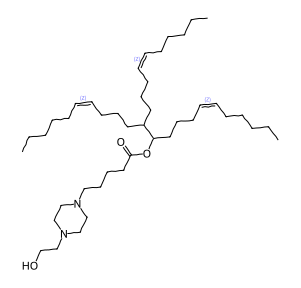 CCCCC/C=C\CCCC(CCC/C=C\CCCCC)C(CCC/C=C\CCCCC)OC(=O)CCCCN1CCN(CCO)CC1